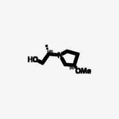 CO[C@@H]1CCN([C@@H](C)CO)C1